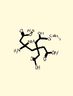 NOC(=O)CC(N)(N)CC(CC(=O)O)(CC(=O)O)CC(=O)O.[CaH2]